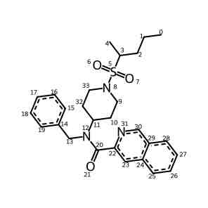 CCCC(C)S(=O)(=O)N1CCC(N(Cc2ccccc2)C(=O)c2cc3ccccc3cn2)CC1